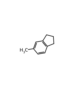 Cc1ccc2c(c1)CCC2